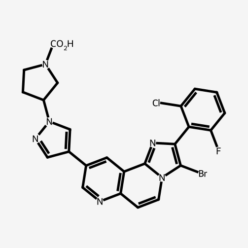 O=C(O)N1CCC(n2cc(-c3cnc4ccn5c(Br)c(-c6c(F)cccc6Cl)nc5c4c3)cn2)C1